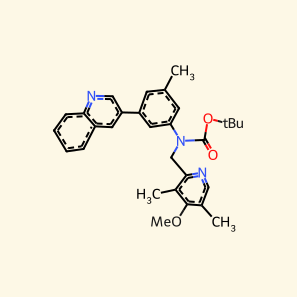 COc1c(C)cnc(CN(C(=O)OC(C)(C)C)c2cc(C)cc(-c3cnc4ccccc4c3)c2)c1C